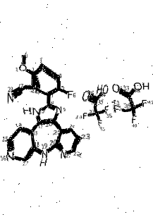 COc1ccc(F)c(-c2nc3c([nH]2)-c2ccncc2Nc2ncccc2-3)c1C#N.O=C(O)C(F)(F)F.O=C(O)C(F)(F)F